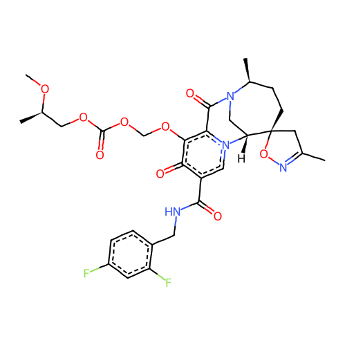 CO[C@H](C)COC(=O)OCOc1c2n(cc(C(=O)NCc3ccc(F)cc3F)c1=O)[C@@H]1CN(C2=O)[C@@H](C)CC[C@]12CC(C)=NO2